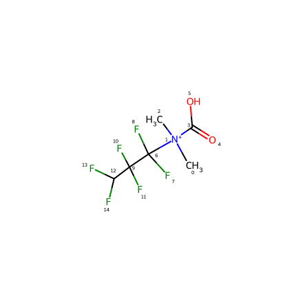 C[N+](C)(C(=O)O)C(F)(F)C(F)(F)C(F)F